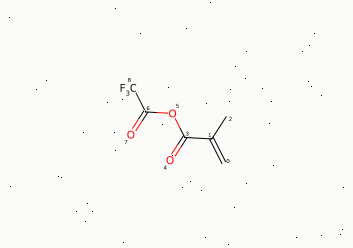 C=C(C)C(=O)OC(=O)C(F)(F)F